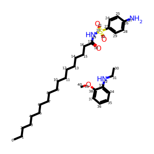 CCCCCCCCCCCCCCCCCC(=O)NS(=O)(=O)c1ccc(N)cc1.CCNc1ccccc1OC